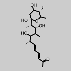 CC(=O)/C=C/C=C/[C@H](C)C(O)C(C)[C@@H](O)[C@H](C)[C@@]1(O)CC(O)[C@H](I)C(C)O1